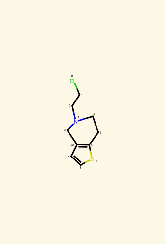 ClCCN1CCc2sccc2C1